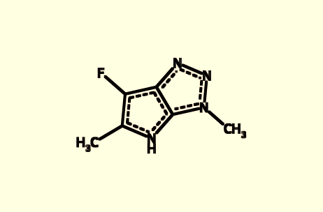 Cc1[nH]c2c(nnn2C)c1F